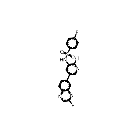 O=S(=O)(Nc1cc(-c2ccc3ncc(F)nc3c2)cnc1Cl)c1ccc(F)cc1